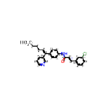 O=C(O)CCCC=C(c1ccc(NC(=O)/C=C/c2cccc(Cl)c2)cc1)c1cccnc1